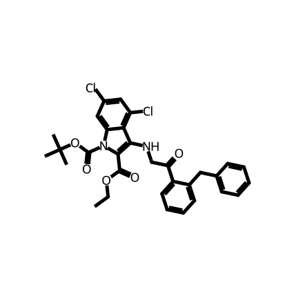 CCOC(=O)c1c(NCC(=O)c2ccccc2Cc2ccccc2)c2c(Cl)cc(Cl)cc2n1C(=O)OC(C)(C)C